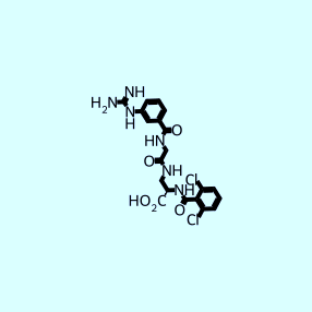 N=C(N)Nc1cccc(C(=O)NCC(=O)NC[C@H](NC(=O)c2c(Cl)cccc2Cl)C(=O)O)c1